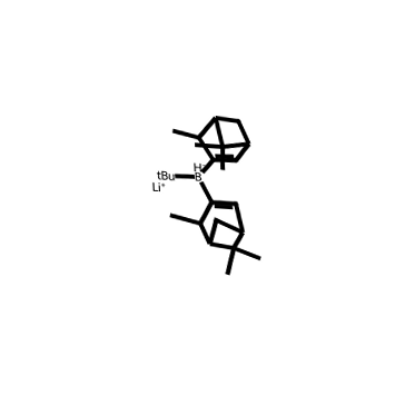 CC1C([BH-](C2=CC3CC(C2C)C3(C)C)C(C)(C)C)=CC2CC1C2(C)C.[Li+]